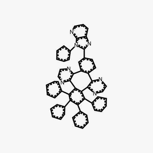 c1ccc(-c2c(-c3ccccc3)c(-c3ccccc3)c3c(c2-c2ccccc2)-c2nccnc2-c2ccc(-c4nc5cccnc5n4-c4ccccc4)cc2-c2nccnc2-3)cc1